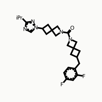 CC(C)c1ncn(C2CC3(C2)CN(C(=O)N2CC4(CC(Cc5ccc(F)cc5F)C4)C2)C3)n1